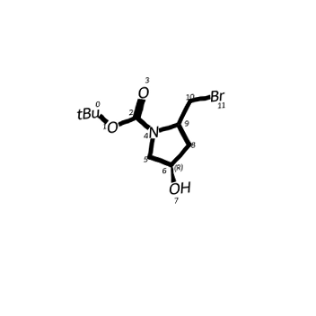 CC(C)(C)OC(=O)N1C[C@H](O)CC1CBr